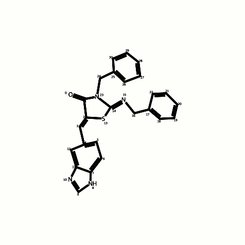 O=C1/C(=C/c2ccc3[nH]cnc3c2)S/C(=N\Cc2ccccc2)N1Cc1ccccc1